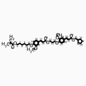 C=C(C)C(=O)OCCCCCCOc1ccc(/C=C/C(=O)OCCCOc2ccc(/C=C/C(=O)OCC3CCCC3)cc2OC)cc1OC